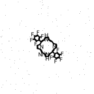 Fc1c(F)c(F)c(-c2c3nc(cc4ccc([nH]4)c(-c4c(F)c(F)c(F)c(F)c4F)c4nc(cc5ccc2[nH]5)C=C4)C=C3)c(F)c1F.[Ni+2]